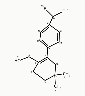 CC1(C)CCC(CO)=C(c2ccc(C(F)F)cc2)C1